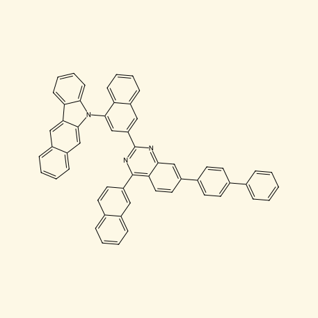 c1ccc(-c2ccc(-c3ccc4c(-c5ccc6ccccc6c5)nc(-c5cc(-n6c7ccccc7c7cc8ccccc8cc76)c6ccccc6c5)nc4c3)cc2)cc1